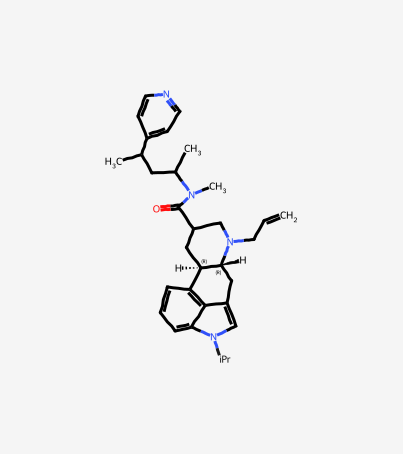 C=CCN1CC(C(=O)N(C)C(C)CC(C)c2ccncc2)C[C@@H]2c3cccc4c3c(cn4C(C)C)C[C@H]21